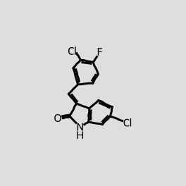 O=C1Nc2cc(Cl)ccc2/C1=C\c1ccc(F)c(Cl)c1